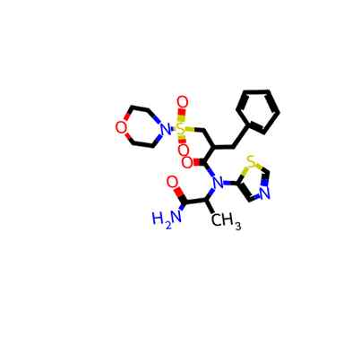 CC(C(N)=O)N(C(=O)C(Cc1ccccc1)CS(=O)(=O)N1CCOCC1)c1cncs1